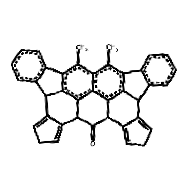 Cc1c2c3c4c5c6c7c(c(C)c15)-c1ccccc1C7C1=CCC=C1C6C(=O)C4C1=CCC=C1C3c1ccccc1-2